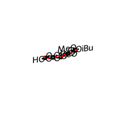 COc1cc(OCC(C)C)cc(OC)c1C(=O)Oc1ccc(C(=O)Oc2ccc(OC(=O)c3ccc(OC(=O)c4ccc(O)cc4)cc3)cc2)cc1